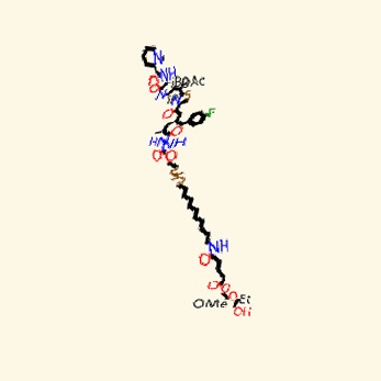 CCC(CO)OC(COC(=O)CCCC(=O)NCCCCCCCCCCCSSCCOC(=O)NNC(=O)[C@@H](C)C[C@@H](CC(=O)c1csc([C@@H](C[C@H](C(C)C)N(C)C(=O)C(NC(=O)[C@H]2CCCCN2C)[C@@H](C)CC)OC(C)=O)n1)Cc1ccc(F)cc1)OC